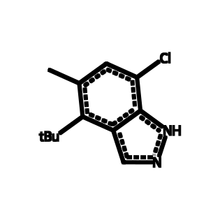 Cc1cc(Cl)c2[nH]ncc2c1C(C)(C)C